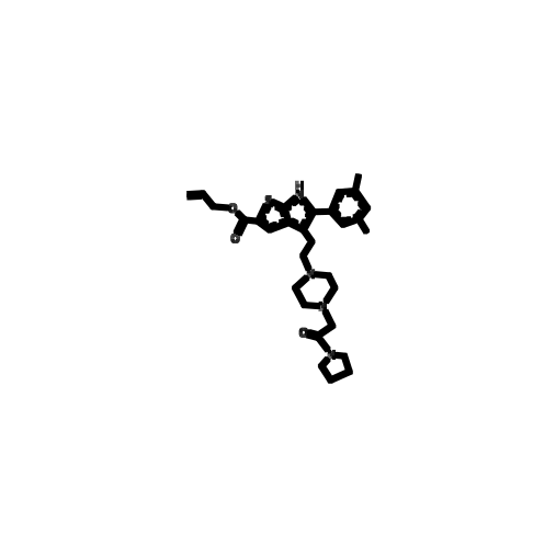 C=CCOC(=O)c1cc2c(CCN3CCN(CC(=O)N4CCCC4)CC3)c(-c3cc(C)cc(C)c3)[nH]c2s1